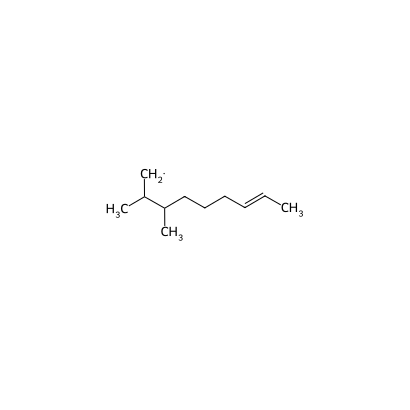 [CH2]C(C)C(C)CCCC=CC